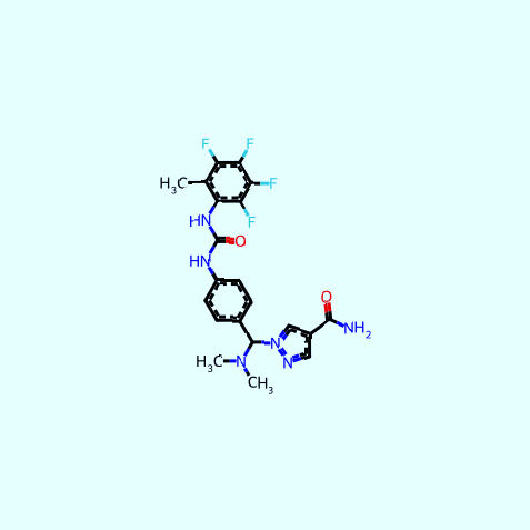 Cc1c(F)c(F)c(F)c(F)c1NC(=O)Nc1ccc(C(N(C)C)n2cc(C(N)=O)cn2)cc1